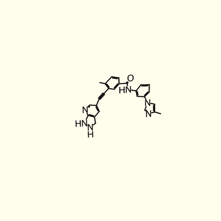 Cc1cn(-c2cccc(NC(=O)c3ccc(C)c(C#Cc4cnc5c(c4)CNN5)c3)c2)cn1